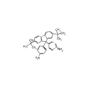 CC(C)(C)c1ccc2c(c1)C(c1ccc(N)cc1)(c1ccc(N)cc1)c1cc(C(C)(C)C)ccc1-2